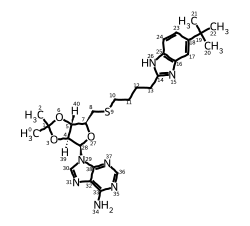 CC1(C)O[C@H]2[C@H](O1)[C@@H](CSCCCCc1nc3cc(C(C)(C)C)ccc3[nH]1)O[C@H]2n1cnc2c(N)ncnc21